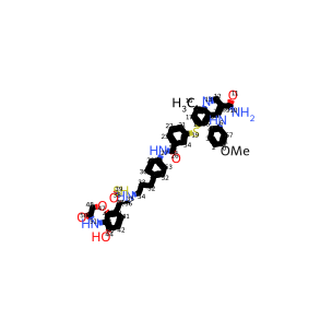 COc1cccc(Nc2c(C(N)=O)cnc3c(C)cc(Sc4cccc(C(=O)Nc5ccc(CCCNC[C@H](OS)c6ccc(O)c7c6OCC(=O)N7)cc5)c4)cc23)c1